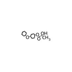 CC(O)C(=O)Oc1ccc(Oc2ccccc2)cc1